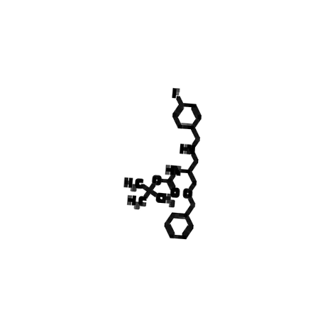 CC(C)(C)OC(=O)NC(CNCc1ccc(F)cc1)COCc1ccccc1